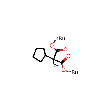 CCCCOC(=O)C(C(=O)OCCCC)(C(C)C)C1CCCC1